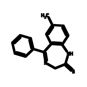 Cc1ccc2c(c1)C(c1ccccc1)=NCC(=S)N2